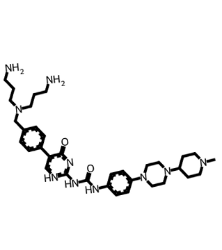 CN1CCC(N2CCN(c3ccc(NC(=O)Nc4nc(=O)c(-c5ccc(CN(CCCN)CCCN)cc5)c[nH]4)cc3)CC2)CC1